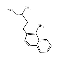 CC(CCc1ccc2ccccc2c1N)CC(C)(C)C